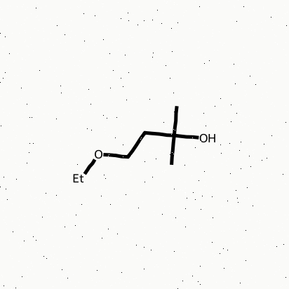 CCOCCC(C)(C)O